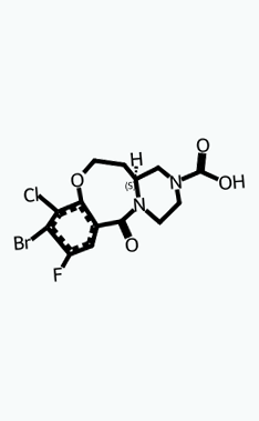 O=C(O)N1CCN2C(=O)c3cc(F)c(Br)c(Cl)c3OCC[C@H]2C1